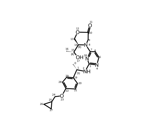 C[C@H](Nc1nccc(N2CC(=O)OC[C@@H]2[C@@H](C)O)n1)c1ccc(OCC2CC2)cc1